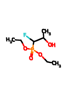 CCOP(=O)(OCC)C(F)C(C)O